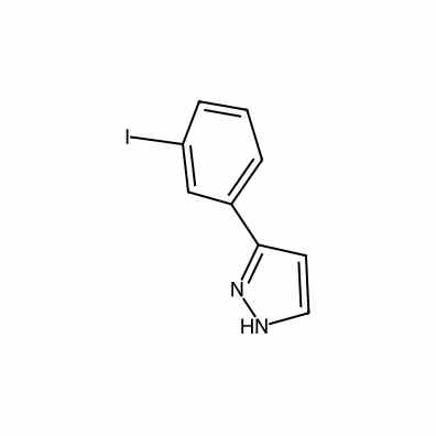 Ic1cccc(-c2cc[nH]n2)c1